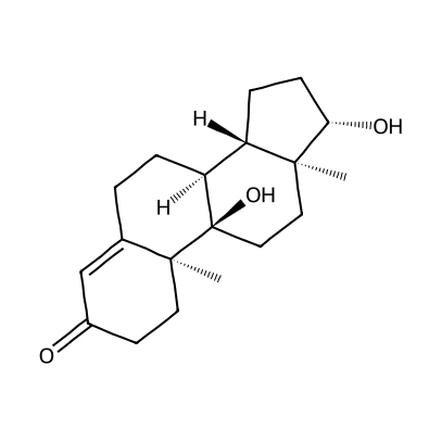 C[C@]12CC[C@@]3(O)[C@@H](CCC4=CC(=O)CC[C@@]43C)[C@@H]1CC[C@@H]2O